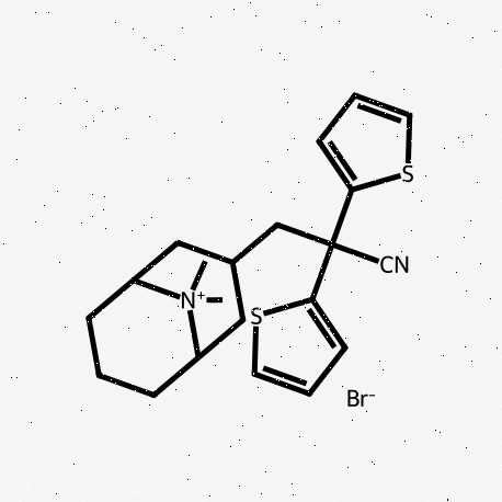 C[N+]1(C)C2CCCC1CC(CC(C#N)(c1cccs1)c1cccs1)C2.[Br-]